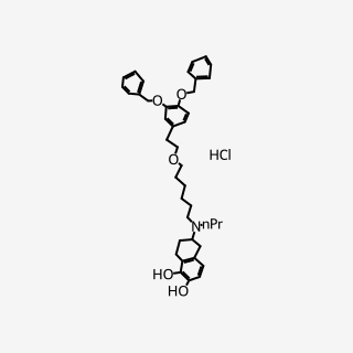 CCCN(CCCCCCOCCc1ccc(OCc2ccccc2)c(OCc2ccccc2)c1)C1CCc2c(ccc(O)c2O)C1.Cl